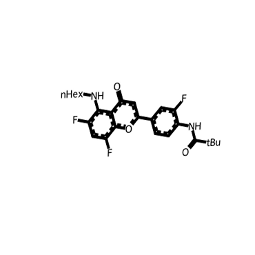 CCCCCCNc1c(F)cc(F)c2oc(-c3ccc(NC(=O)C(C)(C)C)c(F)c3)cc(=O)c12